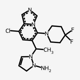 CC(c1cc(Cl)c2cncn2c1N1CCC(F)(F)CC1)N1C=CCN1N